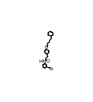 N#Cc1cccc(NC(=O)CCc2ccc(OCCCCCc3ccccc3)cc2)c1